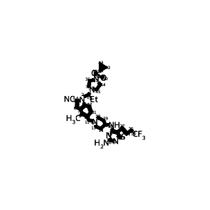 CC[C@@H](Cn1c(C#N)cc2c(C)c(CN3CCC(Nc4nc(N)nc5sc(CC(F)(F)F)cc45)CC3)ccc21)N1CCN(S(=O)(=O)C2CC2)CC1